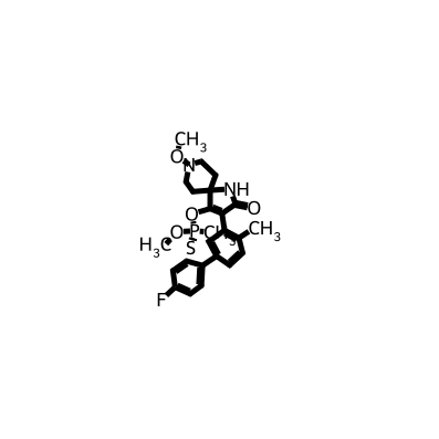 CON1CCC2(CC1)NC(=O)C(c1cc(-c3ccc(F)cc3)ccc1C)=C2OP(C)(=S)OC